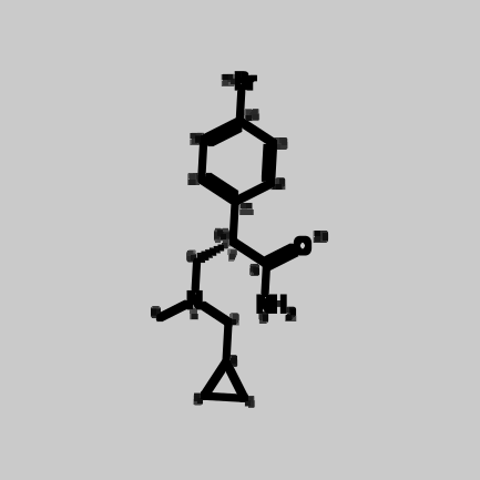 CN(CC1CC1)C[C@@H](C(N)=O)c1ccc(Br)cc1